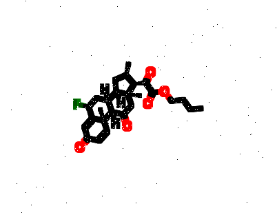 CCCCOC(=O)C(=O)[C@H]1[C@H](C)C[C@H]2[C@@H]3C[C@H](F)C4=CC(=O)C=C[C@]4(C)[C@H]3C(=O)C[C@@]21C